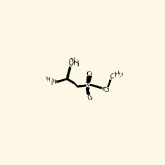 COS(=O)(=O)CC(N)O